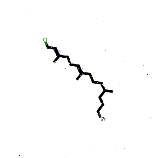 C/C(=C\CCl)CC/C=C(\C)CCCC(C)CCCC(C)C